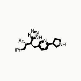 CC(=O)[C@@H](CC(C)C)[C@H](Cc1ccc(C2CCNC2)nc1)c1nnn[nH]1